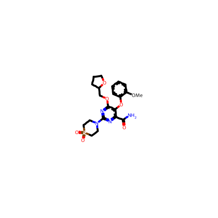 COc1ccccc1Oc1c(OCC2CCCO2)nc(N2CCS(=O)(=O)CC2)nc1C(N)=O